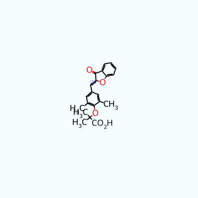 Cc1cc(/C=C2\Oc3ccccc3C2=O)cc(C)c1OC(C)(C)C(=O)O